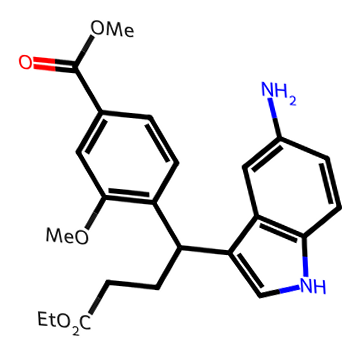 CCOC(=O)CCC(c1ccc(C(=O)OC)cc1OC)c1c[nH]c2ccc(N)cc12